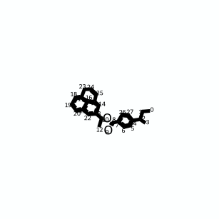 CCC(C)c1ccc(C(=O)OC(C)c2cc3c4c(cccc4c2)CC=C3)cc1